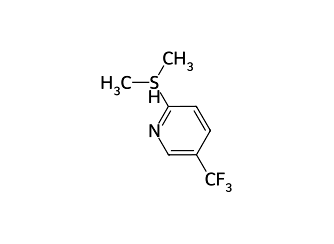 C[SH](C)c1ccc(C(F)(F)F)cn1